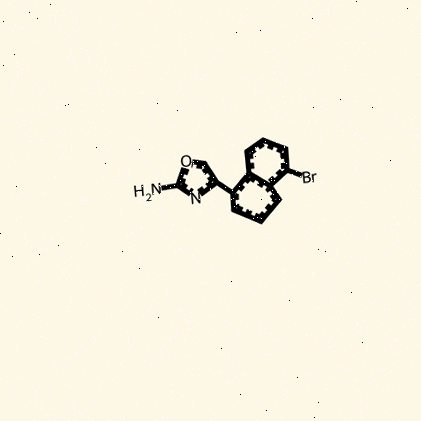 Nc1nc(-c2cccc3c(Br)cccc23)co1